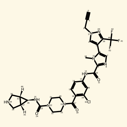 C#CCn1cc(-c2cnc(C(=O)Nc3ccc(C(=O)N4CCN(C(=O)N[C@H]5[C@@H]6CNC[C@@H]65)CC4)c(Cl)c3)n2C)c(C(F)(F)F)n1